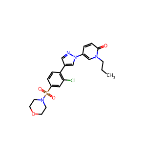 CCCn1cc(-n2cc(-c3ccc(S(=O)(=O)N4CCOCC4)cc3Cl)cn2)ccc1=O